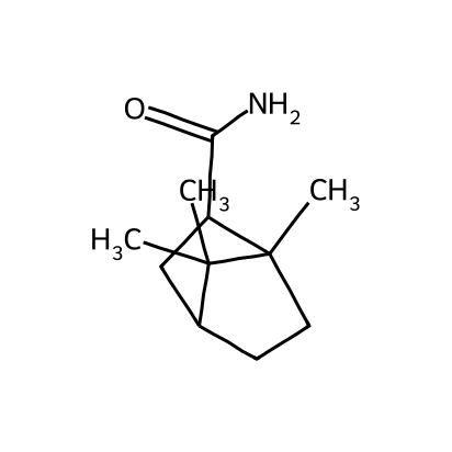 CC1(C)C2CCC1(C)C(C(N)=O)C2